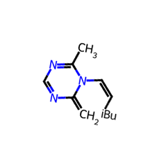 C=C1N=CN=C(C)N1/C=C\C(C)CC